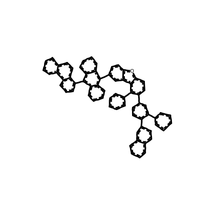 c1ccc(-c2cc(-c3ccc4oc5ccc(-c6c7ccccc7c(-c7cccc8c7ccc7ccccc78)c7ccccc67)cc5c4c3-c3ccccc3)ccc2-c2ccc3ccccc3c2)cc1